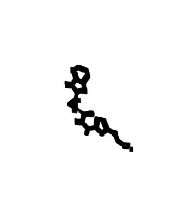 CC(NC(=O)[C@@H]1C[C@H]1c1nc2cccnc2[nH]1)c1ccc(OCC(F)(F)F)s1